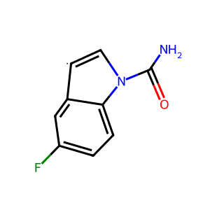 NC(=O)n1c[c]c2cc(F)ccc21